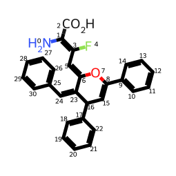 NC(C(=O)O)=C(F)C=C1OC(c2ccccc2)=CC(c2ccccc2)C1=Cc1ccccc1